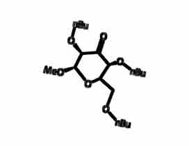 CCCCOCC1O[C@@H](OC)[C@@H](OCCCC)C(=O)[C@H]1OCCCC